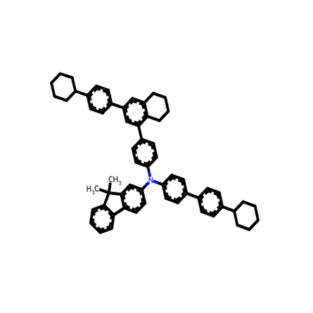 CC1(C)c2ccccc2-c2ccc(N(c3ccc(-c4ccc(C5CCCCC5)cc4)cc3)c3ccc(-c4cc(-c5ccc(C6CCCCC6)cc5)cc5c4CCCC5)cc3)cc21